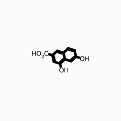 O=C(O)c1cc(O)c2cc(O)ccc2c1